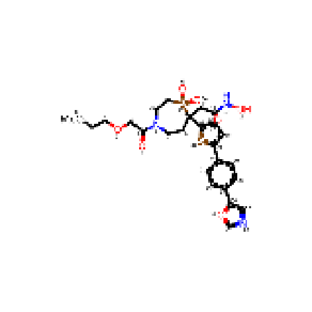 COCCOCC(=O)N1CCC(CC(=O)NO)(c2ccc(-c3ccc(-c4cnco4)cc3)s2)S(=O)(=O)CC1